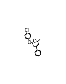 CC1C=C(c2ccccc2)CC(Oc2ccc(Cl)cc2)O1